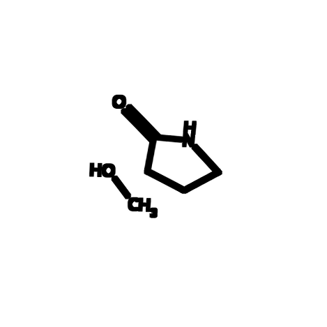 CO.O=C1CCCN1